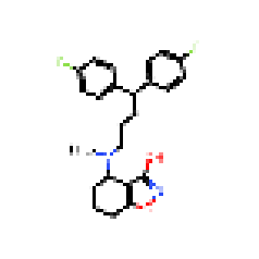 CN(CCCC(c1ccc(F)cc1)c1ccc(F)cc1)[C@@H]1CCCc2onc(O)c21